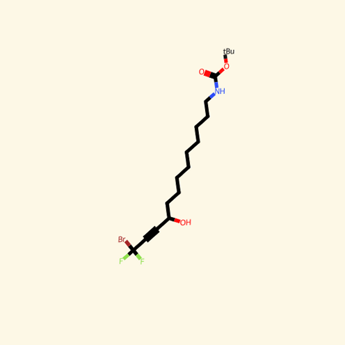 CC(C)(C)OC(=O)NCCCCCCCCCC(O)C#CC(F)(F)Br